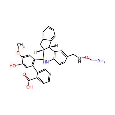 COc1cc(C2Nc3ccc(CBOCN)cc3[C@H]3c4ccccc4C[C@@H]23)c(-c2ccccc2C(=O)O)cc1O